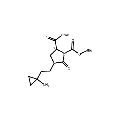 COC(=O)[C@@H]1CC(CCC2(N)CC2)C(=O)N1C(=O)OC(C)(C)C